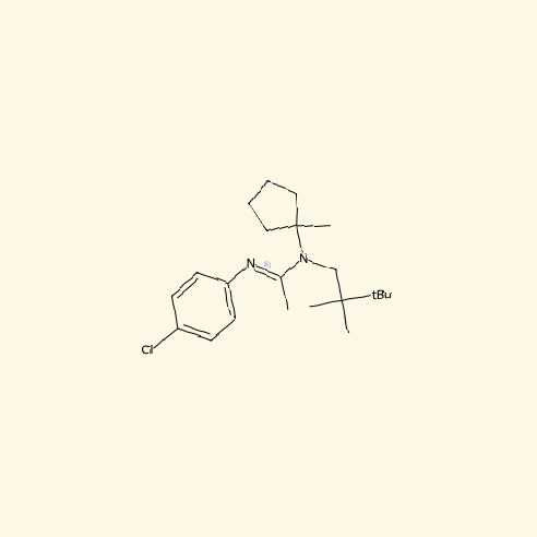 C/C(=N\c1ccc(Cl)cc1)N(CC(C)(C)C(C)(C)C)C1(C)CCCC1